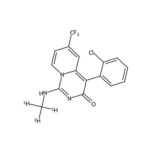 [2H]C([2H])([2H])Nc1nc(=O)c(-c2ccccc2Cl)c2cc(C(F)(F)F)ccn12